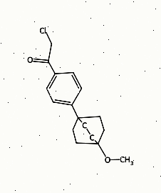 COC12CCC(c3ccc(C(=O)CCl)cc3)(CC1)CC2